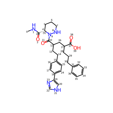 CNC(=O)[C@@H]1CCCNN1C(=O)C(CCc1ccc(-c2c[nH]cn2)cc1)CC(CCCc1ccccc1)C(=O)O